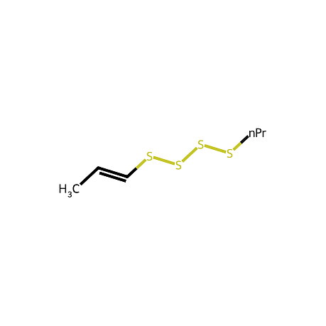 CC=CSSSSCCC